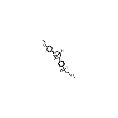 CCOc1ccc(N2C[C@H]3CN(c4ccc(S(=O)(=O)CCN)cc4)CC2C(C)(C)C3)cc1